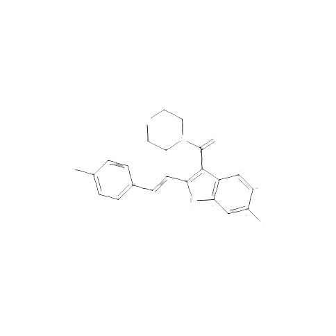 O=C(c1c(C=Cc2ccc(Cl)cc2)[nH]c2cc(Br)ccc12)N1CCOCC1